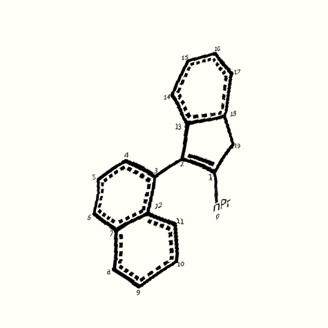 CCCC1=C(c2cccc3ccccc23)c2ccccc2[CH]1